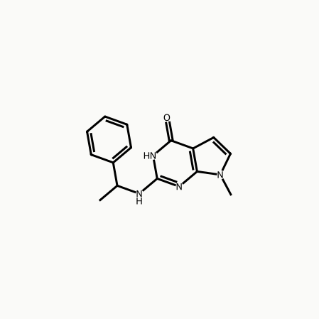 CC(Nc1nc2c(ccn2C)c(=O)[nH]1)c1ccccc1